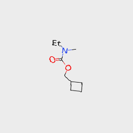 CCN(C)C(=O)OCC1CCC1